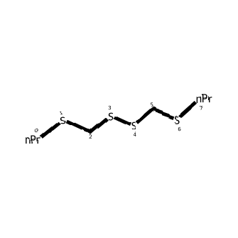 CCCSCSSCSCCC